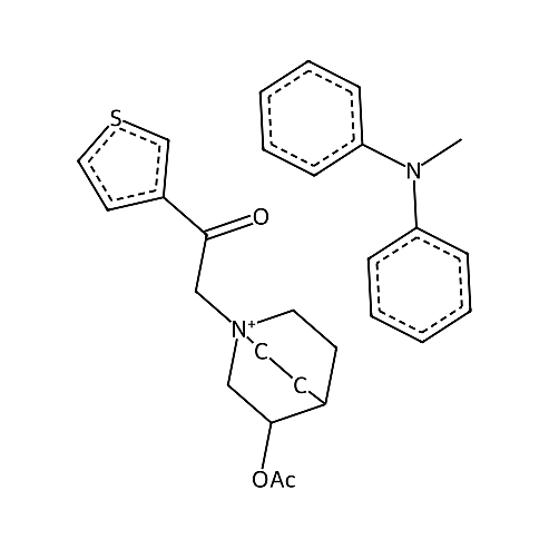 CC(=O)OC1C[N+]2(CC(=O)c3ccsc3)CCC1CC2.CN(c1ccccc1)c1ccccc1